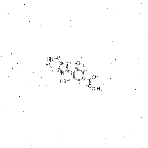 Br.COC(=O)c1ccc(-c2nc3c(s2)CNCC3)c(C)c1